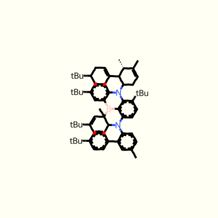 CC1=CCC(N2c3ccc(C(C)(C)C)cc3B3c4c(ccc(C(C)(C)C)c42)N(c2ccc(C)cc2-c2ccc(C(C)(C)C)cc2)C2C=CC(C(C)(C)C)=CC32C)C(C2=CCC(C(C)(C)C)CC2)[C@@H]1C